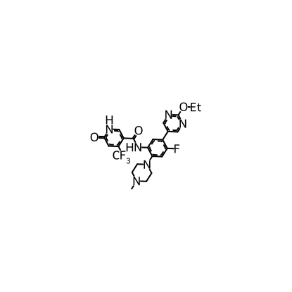 CCOc1ncc(-c2cc(NC(=O)c3c[nH]c(=O)cc3C(F)(F)F)c(N3CCN(C)CC3)cc2F)cn1